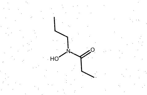 [CH2]CC(=O)N(O)CCC